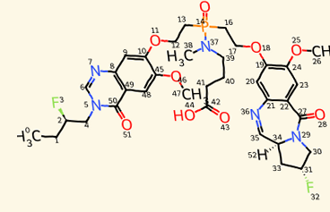 CC[C@@H](F)Cn1cnc2cc(OCCP(=O)(CCOc3cc4c(cc3OC)C(=O)N3C[C@H](F)C[C@H]3C=N4)N(C)CCCC(=O)O)c(OC)cc2c1=O